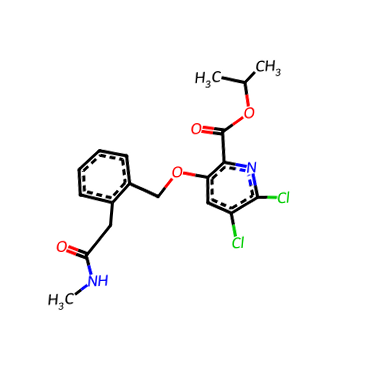 CNC(=O)Cc1ccccc1COc1cc(Cl)c(Cl)nc1C(=O)OC(C)C